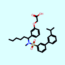 CCCCCC(c1cccc(OCC(=O)O)c1)N(C)S(=O)(=O)c1cccc(-c2cccc(C(C)C)c2)c1